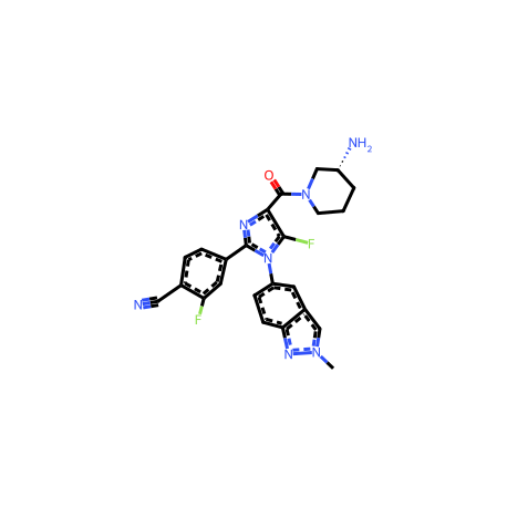 Cn1cc2cc(-n3c(-c4ccc(C#N)c(F)c4)nc(C(=O)N4CCC[C@@H](N)C4)c3F)ccc2n1